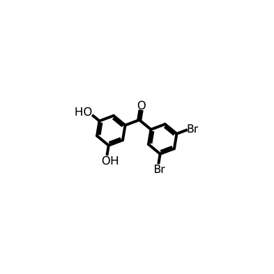 O=C(c1cc(O)cc(O)c1)c1cc(Br)cc(Br)c1